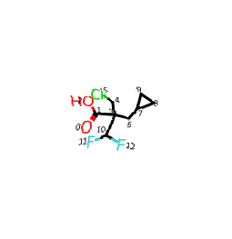 O=C(O)C(CCl)(CC1CC1)C(F)F